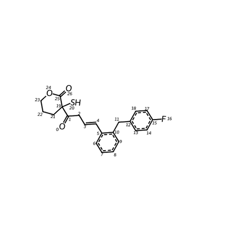 O=C(C/C=C/c1ccccc1Cc1ccc(F)cc1)C1(S)CCCOC1=O